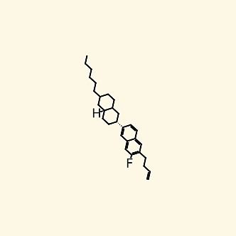 C=CCCc1cc2ccc([C@@H]3CC[C@@H]4CC(CCCCCC)CCC4C3)cc2cc1F